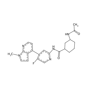 CC(=O)NC1CCCC(C(=O)Nc2cc(-c3ccnc4c3ccn4C)c(F)cn2)C1